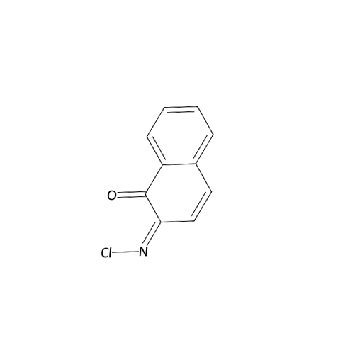 O=C1C(=NCl)C=Cc2ccccc21